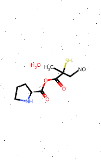 CC(S)(CN=O)C(=O)OC(=O)[C@@H]1CCCN1.O